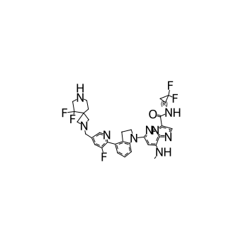 CNc1cc(N2CCc3c(-c4ncc(CN5CC6(CCNCC6(F)F)C5)cc4F)cccc32)nn2c(C(=O)N[C@@H]3CC3(F)F)cnc12